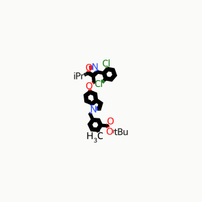 Cc1ccc(Cn2ccc3cc(OCc4c(-c5c(Cl)cccc5Cl)noc4C(C)C)ccc32)cc1C(=O)OC(C)(C)C